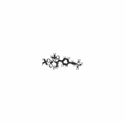 CC(C)(C)OC(=O)N1C(CF)C(c2ccc(C#C[Si](C)(C)C)cc2)OC1(C)C